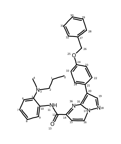 CCCN(C)c1ccccc1NC(=O)c1ccn2ncc(-c3ccc(OCc4ccccc4)cc3)c2n1